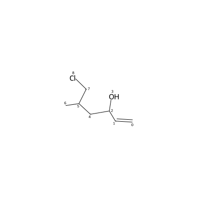 C=CC(O)CC(C)CCl